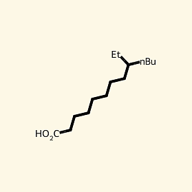 CCCCC(CC)CCCCCCCC(=O)O